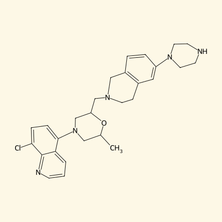 CC1CN(c2ccc(Cl)c3ncccc23)CC(CN2CCc3cc(N4CCNCC4)ccc3C2)O1